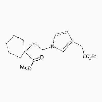 CCOC(=O)Cc1ccn(CCC2(C(=O)OC)CCCCC2)c1